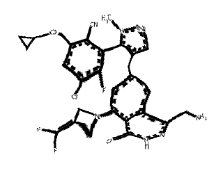 Cn1ncc(-c2cc(N3CC(=C(F)F)C3)c3c(=O)[nH]nc(CN)c3c2)c1-c1c(F)c(Cl)cc(OC2CC2)c1C#N